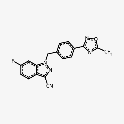 N#Cc1nn(Cc2ccc(-c3noc(C(F)(F)F)n3)cc2)c2cc(F)ccc12